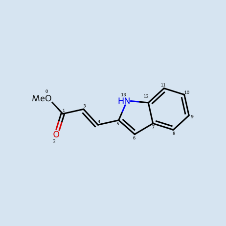 COC(=O)C=Cc1cc2ccccc2[nH]1